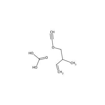 C#COCC(C)C=C.O=C(O)O